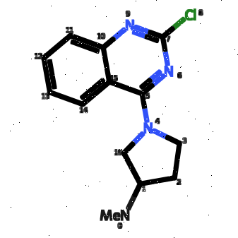 CNC1CCN(c2nc(Cl)nc3ccccc23)C1